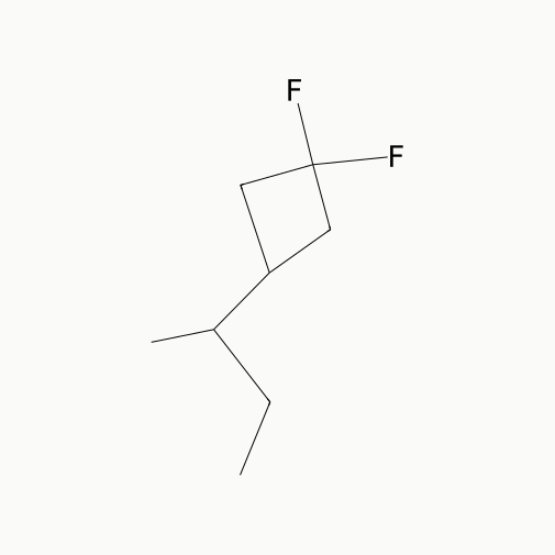 CCC(C)C1CC(F)(F)C1